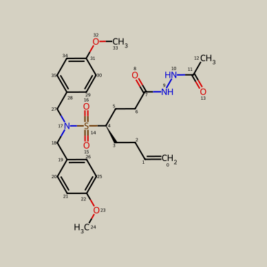 C=CCC[C@H](CCC(=O)NNC(C)=O)S(=O)(=O)N(Cc1ccc(OC)cc1)Cc1ccc(OC)cc1